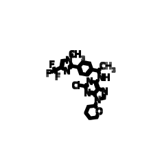 CC(Nc1nc(Cl)nc2c1ncn2C1CCCCO1)c1ccc(-c2nc(C(F)(F)F)cn2C)cc1